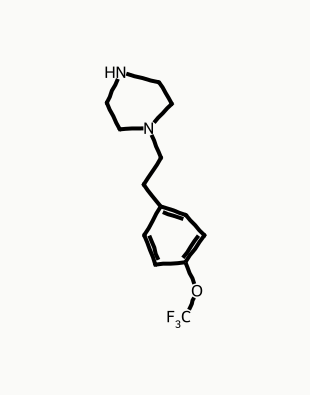 FC(F)(F)Oc1ccc(CCN2CCNCC2)cc1